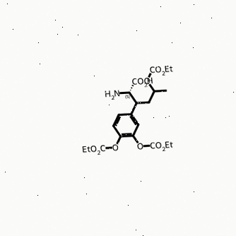 CCOC(=O)Oc1ccc(C(CC(C)OC(=O)OCC)[C@H](N)C(=O)O)cc1OC(=O)OCC